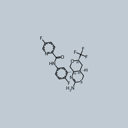 NC1=N[C@@]2(c3cc(NC(=O)c4ccc(F)cn4)ccc3F)CO[C@@H](C(F)(F)F)C[C@H]2CS1